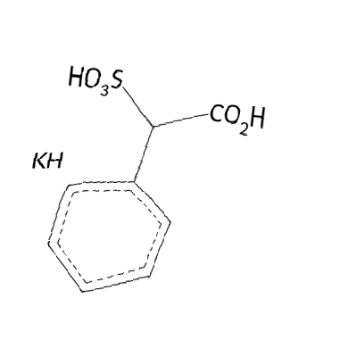 O=C(O)C(c1ccccc1)S(=O)(=O)O.[KH]